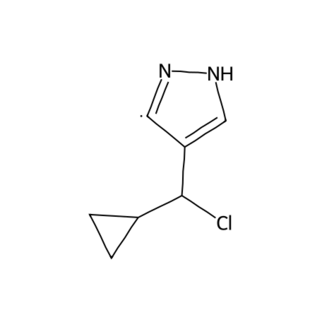 ClC(c1[c]n[nH]c1)C1CC1